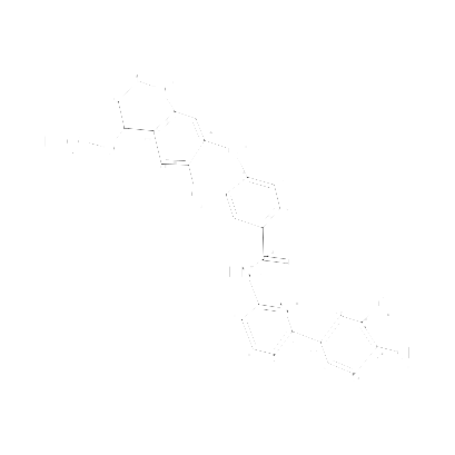 O=C(O)OC1CCOc2cc(Oc3ccc(C(=O)Nc4cccc(-c5ccc(Cl)c(Cl)c5)n4)cc3)c(Cl)cc21